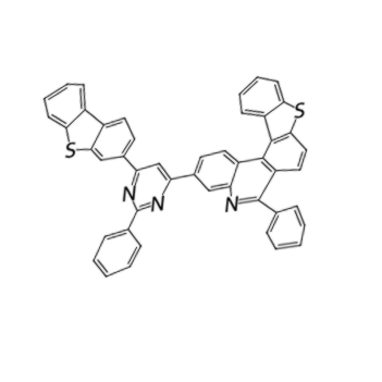 c1ccc(-c2nc(-c3ccc4c(c3)nc(-c3ccccc3)c3ccc5sc6ccccc6c5c34)cc(-c3ccc4c(c3)sc3ccccc34)n2)cc1